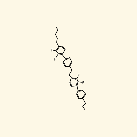 CCCCCc1ccc(-c2ccc(CCc3ccc(-c4ccc(CCC)cc4)c(F)c3F)cc2)c(F)c1F